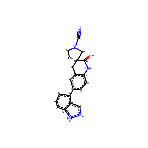 N#CN1CC[C@]2(Cc3cc(-c4cccc5[nH]ncc45)ccc3NC2=O)C1